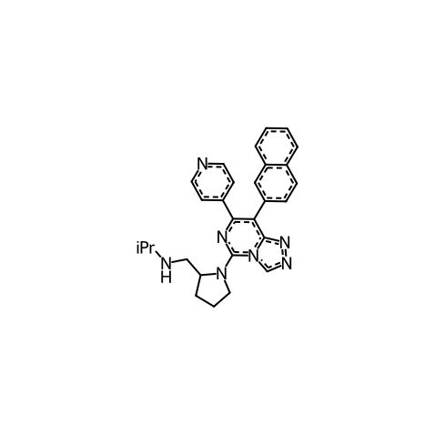 CC(C)NCC1CCCN1c1nc(-c2ccncc2)c(-c2ccc3ccccc3c2)c2nncn12